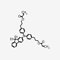 C=CC(=O)OCCCc1ccc(N(c2ccc(CCCOC(=O)C=C)cc2)c2ccc3c(c2)C(CC)(CC)c2ccccc2-3)cc1